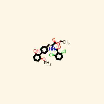 CCOC(=O)[C@H](Cc1ccc(-c2c(O)cccc2OC)cc1)NC(=O)c1c(Cl)cccc1Cl